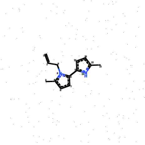 C=CCn1c(C)ccc1-c1ccc(C)[nH]1